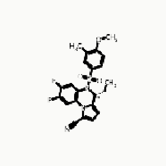 CC[C@@H]1c2ccc(C#N)n2-c2cc(F)c(F)cc2N1S(=O)(=O)c1ccc(OC)c(C)c1